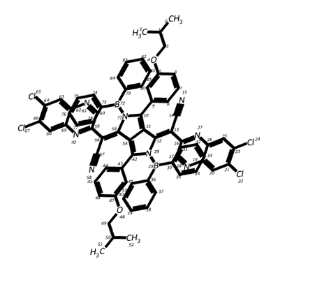 CC(C)COc1cccc(-c2c3/c(=C(\C#N)c4cnc5cc(Cl)c(Cl)cc5n4)n(B(c4ccccc4)c4ccccc4)c(-c4cccc(OCC(C)C)c4)c3/c(=C(\C#N)c3cnc4cc(Cl)c(Cl)cc4n3)n2B(c2ccccc2)c2ccccc2)c1